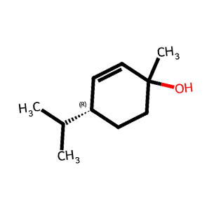 CC(C)[C@@H]1C=CC(C)(O)CC1